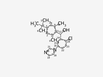 Cc1cc(C(C)(C)C)cc(C)c1C(O)c1cc(-n2ccnc2)ccc1Cl